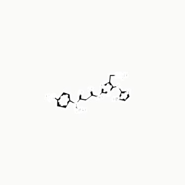 Cc1ccc(N(OCC(C)C)C(=O)CC(=O)Nc2nc(CC(=O)O)c(Sc3ncc[nH]3)s2)cc1